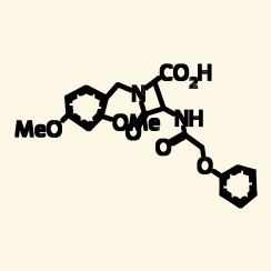 COc1ccc(CN2C(=O)C(NC(=O)COc3ccccc3)C2C(=O)O)c(OC)c1